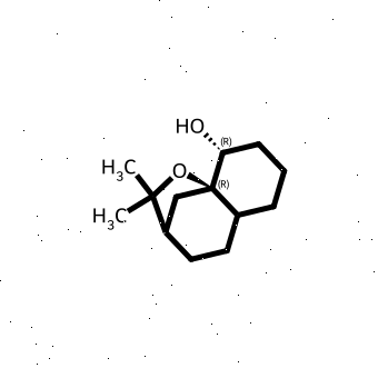 CC1(C)O[C@]23CC1CCC2CCC[C@H]3O